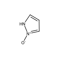 [O-][n+]1ccc[nH]1